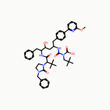 COc1cccc(-c2ccc(CC(CC(O)C(Cc3ccccc3)NC(=O)C(N3CCN(Cc4ccccc4)C3=O)C(C)(C)C)NC(=O)N(CC(C)(C)C)C(=O)O)cc2)n1